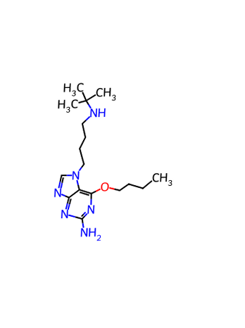 CCCCOc1nc(N)nc2ncn(CCCCNC(C)(C)C)c12